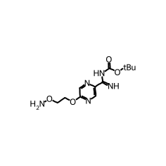 CC(C)(C)OC(=O)NC(=N)c1cnc(OCCON)cn1